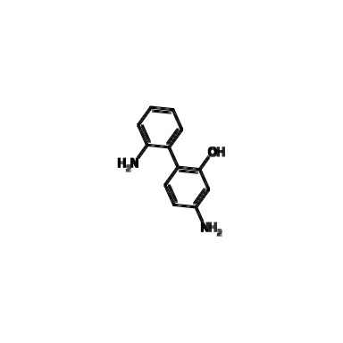 Nc1ccc(-c2ccccc2N)c(O)c1